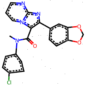 CN(C(=O)c1c(-c2ccc3c(c2)OCO3)nc2ncccn12)c1ccc(Cl)cc1